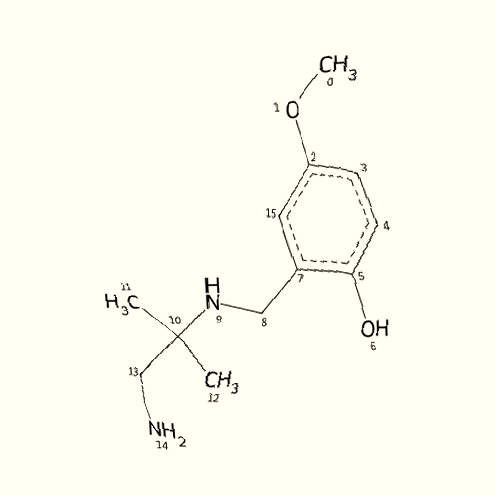 COc1ccc(O)c(CNC(C)(C)CN)c1